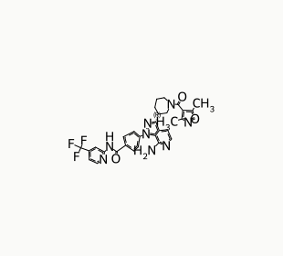 Cc1noc(C)c1C(=O)N1CCC[C@@H](c2nn(-c3ccc(C(=O)Nc4cc(C(F)(F)F)ccn4)cc3)c3c(N)nccc23)C1